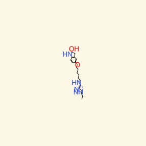 CCCC/C(=C/NCCCCCCOc1ccc2c(c1)CC(O)N2)N=N